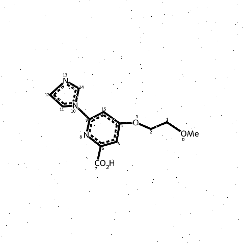 COCCOc1cc(C(=O)O)nc(-n2ccnc2)c1